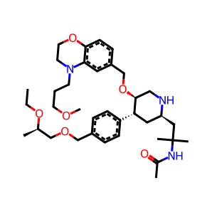 CCO[C@H](C)COCc1ccc([C@H]2C[C@H](CC(C)(C)NC(C)=O)NC[C@@H]2OCc2ccc3c(c2)N(CCCOC)CCO3)cc1